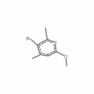 COc1cc(C)c(Br)c(C)n1